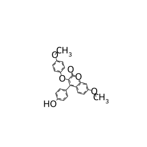 COc1ccc(Oc2c(-c3ccc(O)cc3)c3ccc(OC)cc3oc2=O)cc1